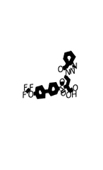 O=C(O)C(CCn1nnc2ccccc2c1=O)S(=O)(=O)c1ccc(-c2ccc(OC(F)(F)F)cc2)cc1